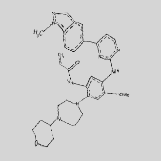 C=CC(=O)Nc1cc(Nc2nccc(-c3ccc4c(cnn4C)c3)n2)c(OC)cc1N1CCN(C2CCOCC2)CC1